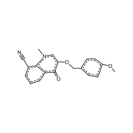 COc1ccc(COc2cn(C)c3c(C#N)cccc3c2=O)cc1